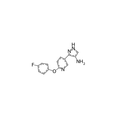 Nc1c[nH]nc1-c1ccc(Oc2ccc(F)cc2)nc1